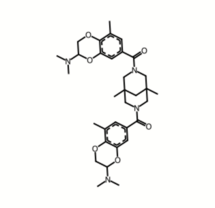 Cc1cc(C(=O)N2CC3(C)CN(C(=O)c4cc(C)c5c(c4)OC(N(C)C)CO5)CC(C)(C2)C3)cc2c1OCC(N(C)C)O2